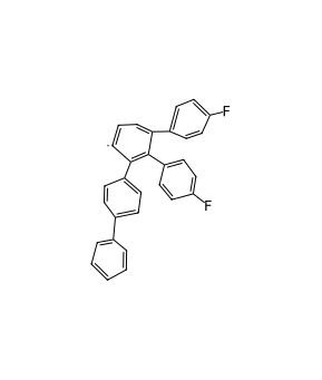 Fc1ccc(-c2cc[c]c(-c3ccc(-c4ccccc4)cc3)c2-c2ccc(F)cc2)cc1